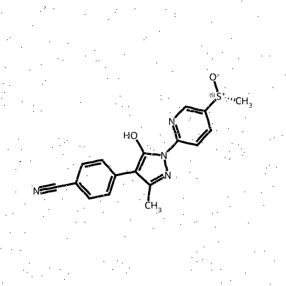 Cc1nn(-c2ccc([S@@+](C)[O-])cn2)c(O)c1-c1ccc(C#N)cc1